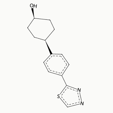 O[C@H]1CC[C@@H](c2ccc(-c3nncs3)cc2)CC1